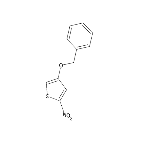 O=[N+]([O-])c1cc(OCc2ccccc2)cs1